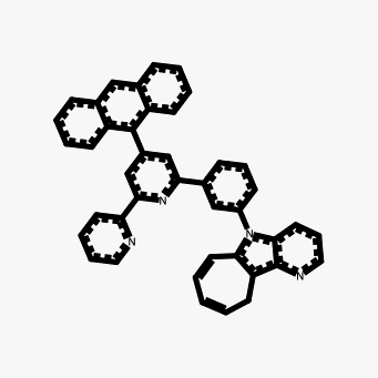 C1=CCc2c(n(-c3cccc(-c4cc(-c5c6ccccc6cc6ccccc56)cc(-c5ccccn5)n4)c3)c3cccnc23)C=C1